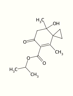 CC1=C(C(=O)OC(C)C)C(=O)CC(C)(O)C12CC2